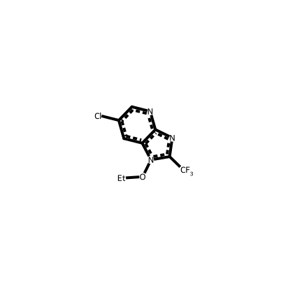 CCOn1c(C(F)(F)F)nc2ncc(Cl)cc21